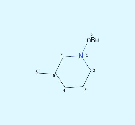 CCCCN1CCCC(C)C1